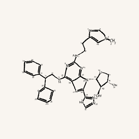 Cn1cnc(CCNc2nc(NCC(c3ccccc3)c3ccccc3)c3nc(-c4nnc[nH]4)n([C@@H]4OC[C@H](O)[C@H]4O)c3n2)c1